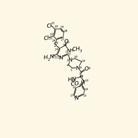 Cn1c(N2CCN(C(=O)[C@@H](Cc3ccncc3)NC(=O)O)CC2)nc(N)c(Sc2cccc(Cl)c2Cl)c1=O